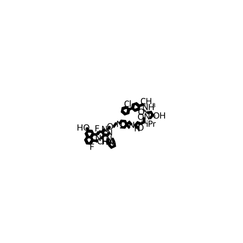 C#Cc1c(F)ccc2cc(O)cc(-c3ncc4c(N5CC6CCC(C5)N6)nc(OCCN5CCC6(CC5)CN(c5cc([C@H](C(=O)N7C[C@H](O)C[C@H]7C(=O)N[C@@H](C)c7ccc(-c8ccccc8Cl)cc7)C(C)C)on5)C6)nc4c3F)c12